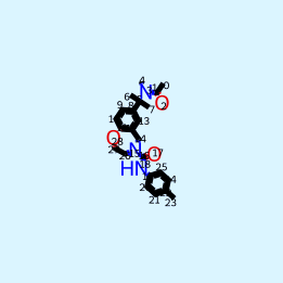 CC(=O)N(C)C(C)(C)c1ccc2c(c1)CN(C(=O)Nc1ccc(C)cc1)CCO2